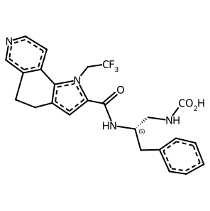 O=C(O)NC[C@H](Cc1ccccc1)NC(=O)c1cc2c(n1CC(F)(F)F)-c1ccncc1CC2